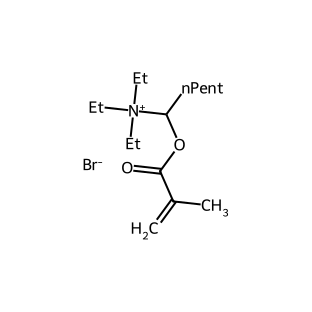 C=C(C)C(=O)OC(CCCCC)[N+](CC)(CC)CC.[Br-]